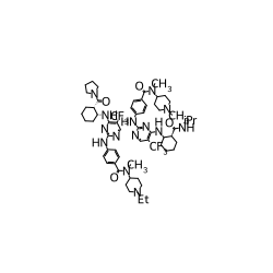 CC(C)NC(=O)[C@H]1CCCC[C@H]1Nc1nc(Nc2ccc(C(=O)N(C)C3CCN(C)CC3)cc2)ncc1C(F)(F)F.CCN1CCC(N(C)C(=O)c2ccc(Nc3ncc(C(F)(F)F)c(N[C@@H]4CCCC[C@@H]4C(=O)N4CCCC4)n3)cc2)CC1